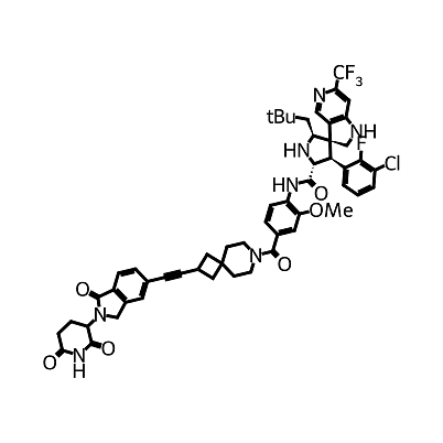 COc1cc(C(=O)N2CCC3(CC2)CC(C#Cc2ccc4c(c2)CN(C2CCC(=O)NC2=O)C4=O)C3)ccc1NC(=O)[C@@H]1N[C@@H](CC(C)(C)C)[C@@]2(CNc3cc(C(F)(F)F)ncc32)[C@H]1c1cccc(Cl)c1F